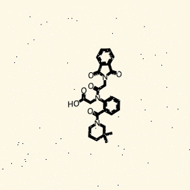 CC1(C)CCCN(C(=O)c2ccccc2N(CC(=O)O)C(=O)CN2C(=O)c3ccccc3C2=O)C1